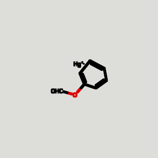 O=[C-]Oc1ccccc1.[Hg+]